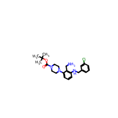 CC(C)(C)OC(=O)N1CCN(c2cccc(NCc3cccc(Cl)c3)c2CN)CC1